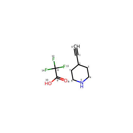 C#CC1CCNCC1.O=C(O)C(F)(F)F